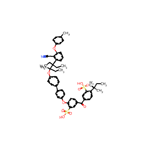 CCC(C)(C)c1ccc(C(=O)c2ccc(Oc3ccc(-c4ccc(OC(C)(CC)C(CC)(CC)c5cccc(Oc6ccc(C)cc6)c5C#N)cc4)cc3)c(S(=O)(=O)O)c2)cc1S(=O)(=O)O